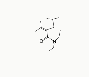 CCN(CC)C(=O)C(CC(C)C)=C(C)C